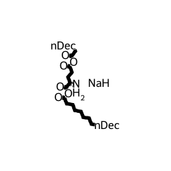 CCCCCCCCCCCCCCCCCC(=O)OC(=O)[C@@H](N)CCC(=O)OC(=O)CCCCCCCCCCC.[NaH]